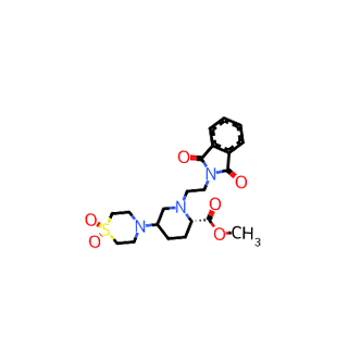 COC(=O)[C@@H]1CCC(N2CCS(=O)(=O)CC2)CN1CCN1C(=O)c2ccccc2C1=O